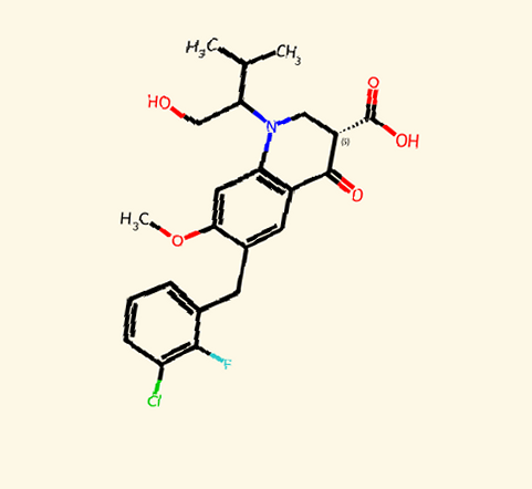 COc1cc2c(cc1Cc1cccc(Cl)c1F)C(=O)[C@@H](C(=O)O)CN2C(CO)C(C)C